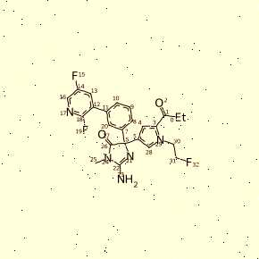 CCC(=O)c1cc(C2(c3cccc(-c4cc(F)cnc4F)c3)N=C(N)N(C)C2=O)cn1CCF